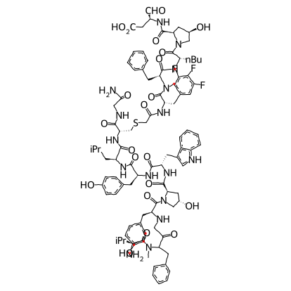 CCCC[C@@H](C(=O)N1C[C@H](O)C[C@@H]1C(=O)N[C@H](C=O)CC(=O)O)N(C)C(=O)[C@H](Cc1ccccc1)N(C)C(=O)[C@H](Cc1cc(F)c(F)c(F)c1)NC(=O)CSC[C@H](NC(=O)[C@H](CC(C)C)NC(=O)[C@H](Cc1ccc(O)cc1)NC(=O)[C@H](Cc1c[nH]c2ccccc12)NC(=O)[C@H]1C[C@H](O)CN1C(=O)[C@H](Cc1ccc(O)cc1)NCC(=O)C(Cc1ccccc1)N(C)C(=O)[C@@H](N)C(C)C)C(=O)NCC(N)=O